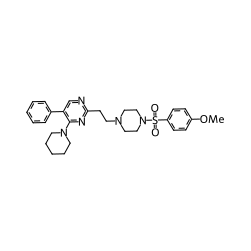 COc1ccc(S(=O)(=O)N2CCN(CCc3ncc(-c4ccccc4)c(N4CCCCC4)n3)CC2)cc1